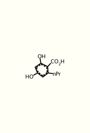 CCCc1cc(O)cc(O)c1C(=O)O